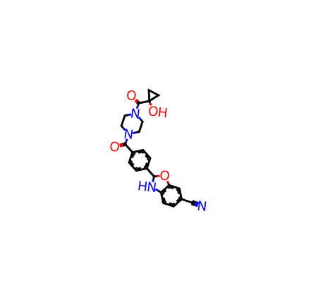 N#Cc1ccc2c(c1)OC(c1ccc(C(=O)N3CCN(C(=O)C4(O)CC4)CC3)cc1)N2